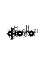 COc1cccc(OC)c1-c1nc2ccc(OC(=O)Nc3cccc(Cl)c3)cc2[nH]1